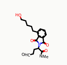 CNC(=O)C(CCC=O)N1C(=O)c2cccc(CCCCCO)c2C1=O